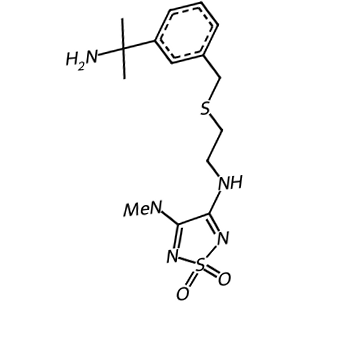 CNC1=NS(=O)(=O)N=C1NCCSCc1cccc(C(C)(C)N)c1